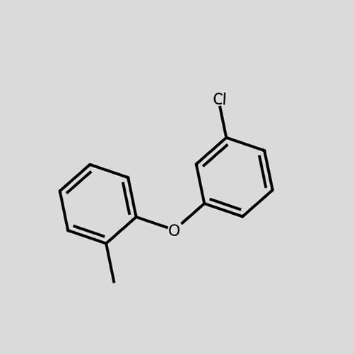 Cc1ccccc1Oc1cccc(Cl)c1